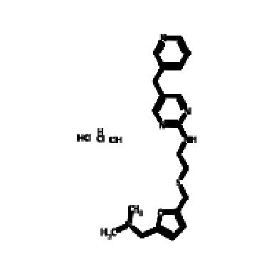 CN(C)Cc1ccc(CSCCNc2ncc(Cc3cccnc3)cn2)o1.Cl.Cl.Cl